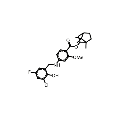 COc1cc(NCc2cc(F)cc(Cl)c2O)ccc1C(=O)OC1CC2CCC1(C)C2(C)C